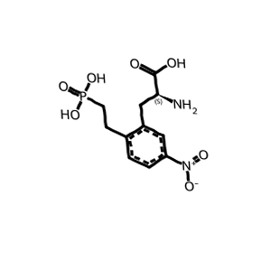 N[C@@H](Cc1cc([N+](=O)[O-])ccc1CCP(=O)(O)O)C(=O)O